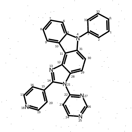 c1ccc(-n2c3ccccc3c3c4nc(-c5ccncc5)n(-c5ccncn5)c4ccc32)cc1